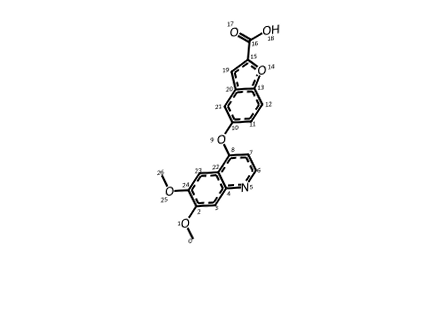 COc1cc2nccc(Oc3ccc4oc(C(=O)O)cc4c3)c2cc1OC